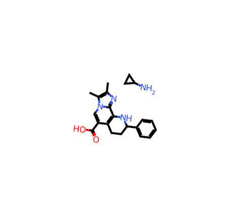 Cc1nc2c3c(c(C(=O)O)cn2c1C)CCC(c1ccccc1)N3.NC1CC1